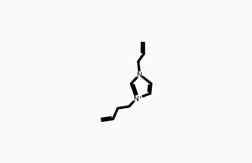 C=CCC[n+]1ccn(CC=C)c1